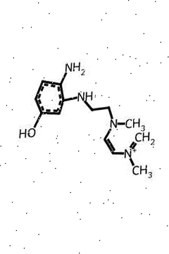 C=[N+](C)/C=C\N(C)CCNc1cc(O)ccc1N